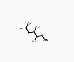 C[C@H](O)C[C@@H](O)[C@H](O)CO